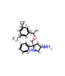 C[C@@H](OC[C@@]1(c2ccccc2)CC(N)CN1)c1cc(C(F)(F)F)cc(C(F)(F)F)c1